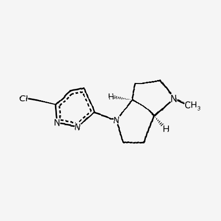 CN1CC[C@H]2[C@@H]1CCN2c1ccc(Cl)nn1